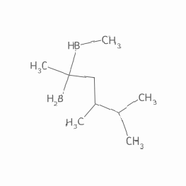 BC(C)(BC)CC(C)C(C)C